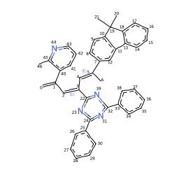 C=C(/C=C(\C=C(/C)c1ccc2c(c1)-c1ccccc1C2(C)C)c1nc(-c2ccccc2)nc(-c2ccccc2)n1)c1cccnc1C